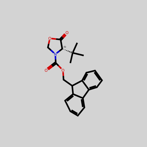 CC(C)(C)[C@H]1C(=O)OCN1C(=O)OCC1c2ccccc2-c2ccccc21